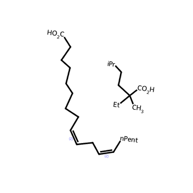 CCC(C)(CCC(C)C)C(=O)O.CCCCC/C=C\C/C=C\CCCCCCCC(=O)O